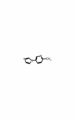 Cc1ccc(-n2ccnc2)cn1